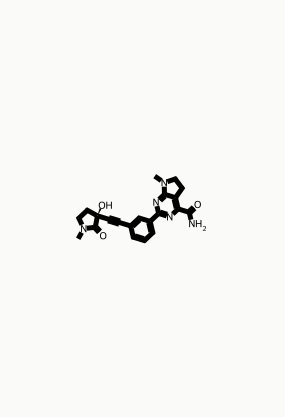 CN1CC[C@@](O)(C#Cc2cccc(-c3nc(C(N)=O)c4c(n3)N(C)CC4)c2)C1=O